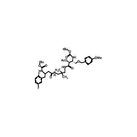 COc1ccc(COC[C@@H](NC(=O)OC(C)(C)C)[C@H](OC(C)=O)C(=O)NCC(C)(C)CNC(=O)CC(Cc2cc(F)ccc2F)NC(=O)OC(C)(C)C)cc1